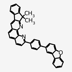 CC1(C)c2ccccc2-c2cc3ccc4ccc(-c5ccc(-c6ccc7oc8ccccc8c7c6)cc5)nc4c3nc21